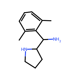 Cc1cccc(C)c1C(N)C1CCCN1